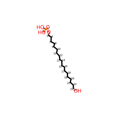 O=P(O)(O)OCCCCCCCCCCCCCCCCCCCO